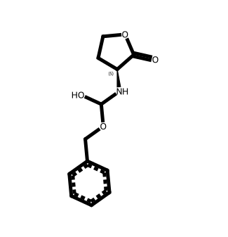 O=C1OCC[C@@H]1NC(O)OCc1ccccc1